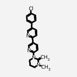 C=C1N(C)CCCN1c1ccc(-c2ccc(-c3ccc(Cl)cc3)cn2)cn1